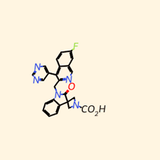 O=C(O)N1CC2(C1)C(=O)N(Cc1ncc3cc(F)ccc3c1-c1cncnc1)c1ccccc12